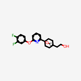 OCCC12CCC(c3cccc(Oc4ccc(F)c(F)c4)n3)(CC1)OC2